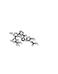 CC(C)C[C@H](NC(=O)[C@H](CC(=O)O)NC(=O)[C@H](CS)NC(=O)[C@H](C)N)C(=O)N1CCC[C@H]1C(=O)N[C@@H](CCC(N)=O)C(N)=O